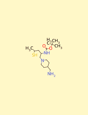 CC(S)CC(CN1CCC(CN)CC1)NC(=O)OC(C)(C)C